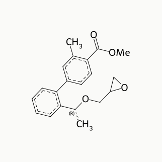 COC(=O)c1ccc(-c2ccccc2[C@@H](C)OCC2CO2)cc1C